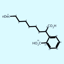 CCCCCCCCCCCCCCCCC(C(=O)O)c1ccccc1C(=O)O